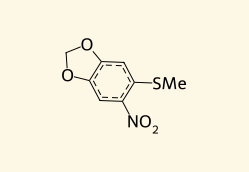 CSc1cc2c(cc1[N+](=O)[O-])OCO2